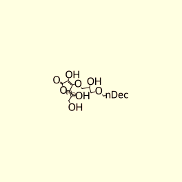 CCCCCCCCCCCOCC(O)COC1=C(O)C(=O)O[C@@H]1[C@@H](O)CO